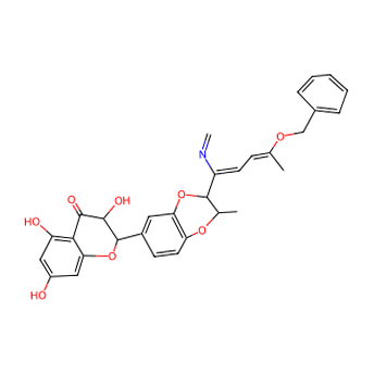 C=N/C(=C\C=C(/C)OCc1ccccc1)C1Oc2cc(C3Oc4cc(O)cc(O)c4C(=O)C3O)ccc2OC1C